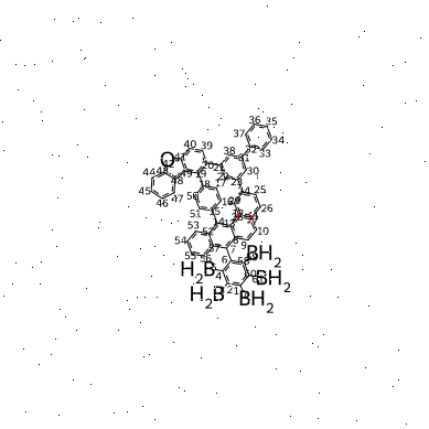 Bc1c(B)c(B)c(-c2c3ccccc3c(-c3ccc(-c4c(-c5cc(-c6ccccc6)cc(-c6ccccc6)c5)ccc5oc6ccccc6c45)cc3)c3ccccc23)c(B)c1B